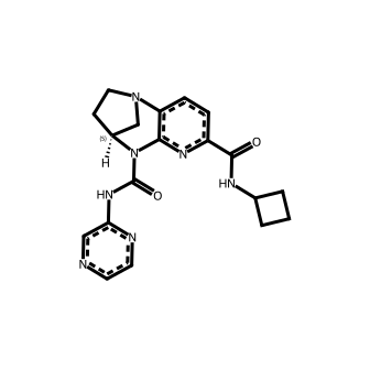 O=C(NC1CCC1)c1ccc2c(n1)N(C(=O)Nc1cnccn1)[C@H]1CCN2C1